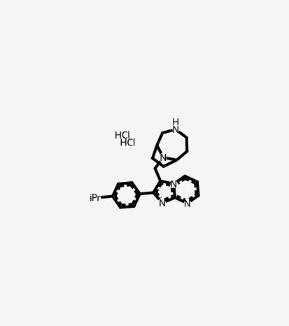 CC(C)c1ccc(-c2nc3ncccn3c2CN2C3CCNCC2CC3)cc1.Cl.Cl